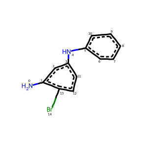 Nc1cc(Nc2ccccc2)ccc1Br